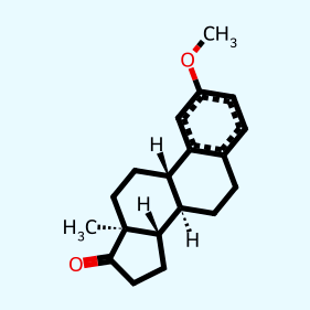 COc1ccc2c(c1)[C@H]1CC[C@]3(C)C(=O)CC[C@H]3[C@@H]1CC2